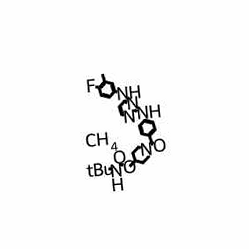 C.Cc1cc(Nc2ccnc(Nc3ccc(C(=O)N4CCC(OC(=O)NC(C)(C)C)CC4)cc3)n2)ccc1F